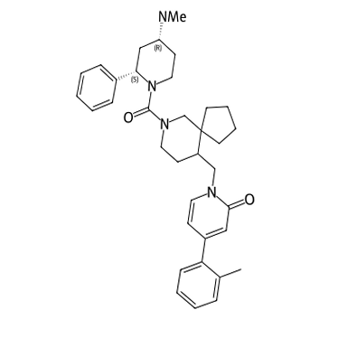 CN[C@@H]1CCN(C(=O)N2CCC(Cn3ccc(-c4ccccc4C)cc3=O)C3(CCCC3)C2)[C@H](c2ccccc2)C1